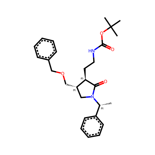 C[C@H](c1ccccc1)N1C[C@H](COCc2ccccc2)[C@@H](CCNC(=O)OC(C)(C)C)C1=O